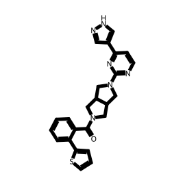 O=C(c1ccccc1-c1cccs1)N1CC2CN(c3nccc(-c4cn[nH]c4)n3)CC2C1